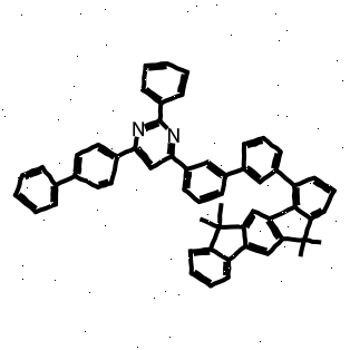 CC1(C)c2ccccc2-c2cc3c(cc21)-c1c(-c2cccc(-c4cccc(-c5cc(-c6ccc(-c7ccccc7)cc6)nc(-c6ccccc6)n5)c4)c2)cccc1C3(C)C